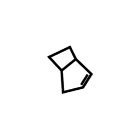 C1=C[C]2CCC2C1